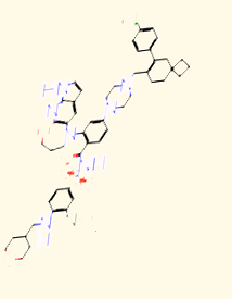 O=C(NS(=O)(=O)c1ccc(NCC2CCOCC2)c([N+](=O)[O-])c1)c1ccc(N2CCN(CC3=C(c4ccc(Cl)cc4)CC4(CCC4)CC3)CC2)cc1N1CCCOc2nc3[nH]ccc3cc21